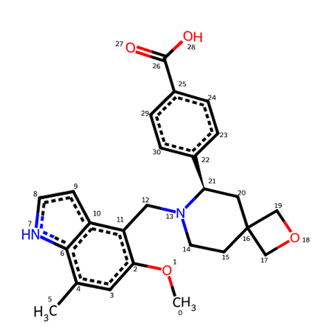 COc1cc(C)c2[nH]ccc2c1CN1CCC2(COC2)C[C@@H]1c1ccc(C(=O)O)cc1